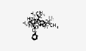 CCC(C)C(C(CC(=O)OC(C)(C)C)OC)N(C)C(=O)[C@@H](NC(=O)OCc1ccccc1)C(C)C